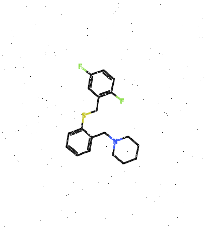 Fc1ccc(F)c(CSc2ccccc2CN2CCCCC2)c1